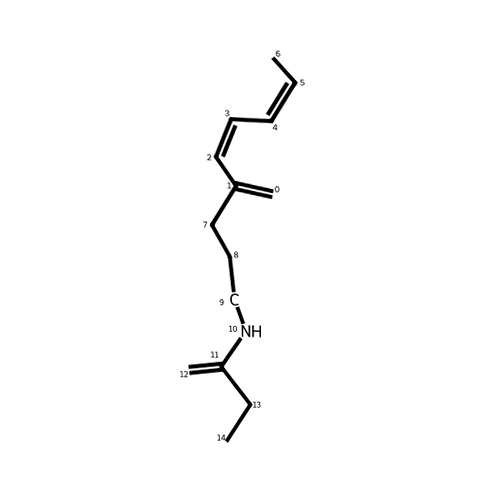 C=C(/C=C\C=C/C)CCCNC(=C)CC